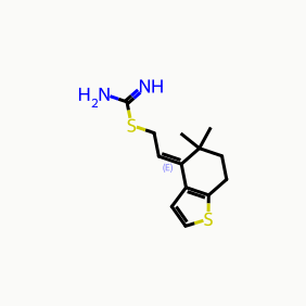 CC1(C)CCc2sccc2/C1=C/CSC(=N)N